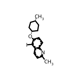 Cc1ccc2c(I)c(O[C@H]3CC[C@@H](C)CC3)ccc2n1